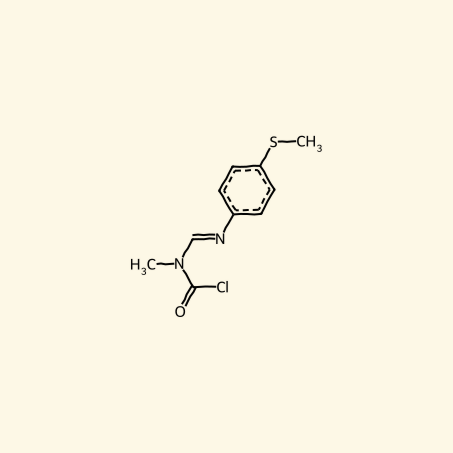 CSc1ccc(N=CN(C)C(=O)Cl)cc1